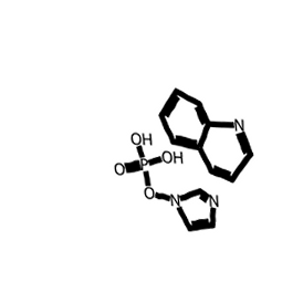 O=P(O)(O)On1ccnc1.c1ccc2ncccc2c1